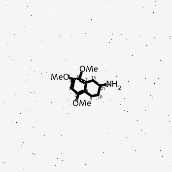 COc1cc(OC)c(OC)c2c1CCC(N)C2